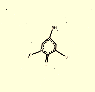 Bc1cc(O)c(=O)n(C)c1